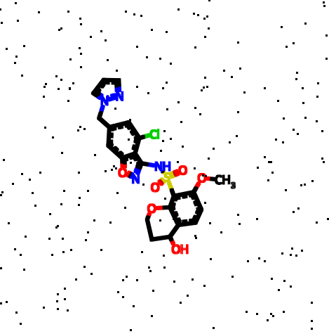 COc1ccc2c(c1S(=O)(=O)Nc1noc3cc(Cn4cccn4)cc(Cl)c13)OCCC2O